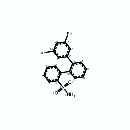 NS(=O)(=O)c1ccccc1-c1ccccc1-c1cc(F)cc(F)c1